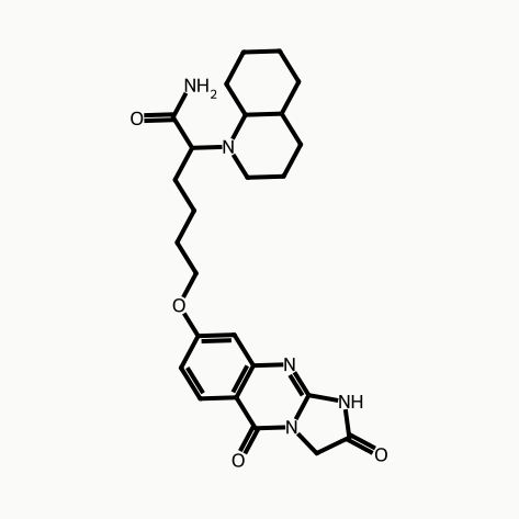 NC(=O)C(CCCCOc1ccc2c(=O)n3c(nc2c1)NC(=O)C3)N1CCCC2CCCCC21